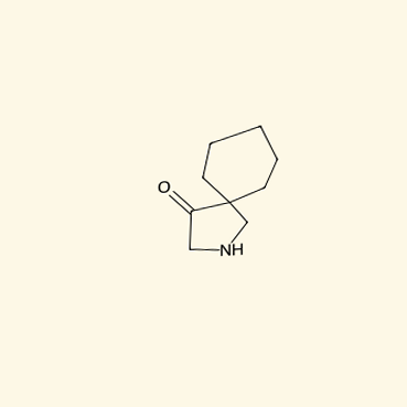 O=C1CNCC12CCCCC2